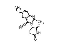 Cc1nc2ccc(CN)cc2c(=O)n1C1CCC(=O)NC1=O.[Cl-].[H+]